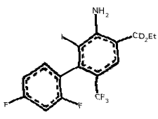 CCOC(=O)c1cc(C(F)(F)F)c(-c2ccc(F)cc2F)c(I)c1N